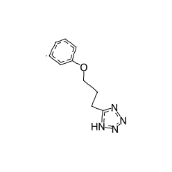 [c]1cccc(OCCCc2nnn[nH]2)c1